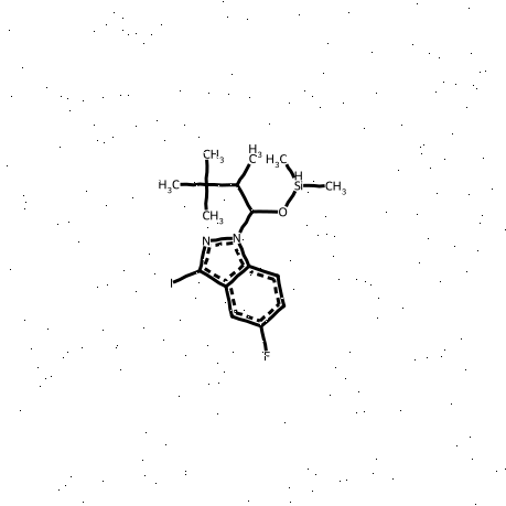 CC(C(O[SiH](C)C)n1nc(I)c2cc(F)ccc21)C(C)(C)C